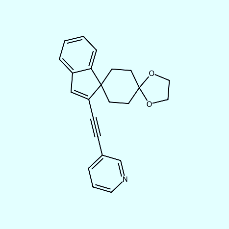 C(#Cc1cccnc1)C1=Cc2ccccc2C12CCC1(CC2)OCCO1